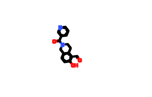 O=Cc1c(O)ccc2c1CCN(C(=O)c1cccnc1)C2